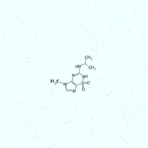 CC(C)NC1=Nc2c(ncn2C)S(=O)(=O)N1